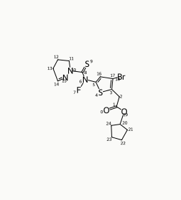 O=C(Cc1sc(N(F)C(=S)N2CCCC=N2)cc1Br)OC1CCCC1